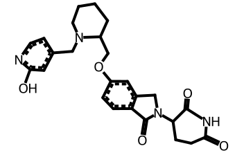 O=C1CCC(N2Cc3cc(OCC4CCCCN4Cc4ccnc(O)c4)ccc3C2=O)C(=O)N1